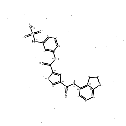 CS(=O)(=O)Nc1cccc(NC(=O)c2cc(C(=O)Nc3cccc4c3CCO4)cs2)c1